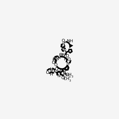 CCn1c(-c2cc(N3CCN4CCOC[C@@H]4C3)cnc2[C@H](C)OC)c2c3cc(ccc31)N1CCO[C@@H](C[C@H](NC(=O)C(C3CCCC3)N3CC[C@]4(CCN(C(=O)[C@@H]5NC5C5CC5)C4)C3)C(=O)N3CCC[C@H](N3)C(=O)OCC(C)(C)C2)C1